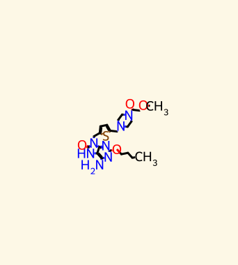 CCCCOc1nc(N)c2[nH]c(=O)n(Cc3ccc(CN4CCN(C(=O)COC)CC4)s3)c2n1